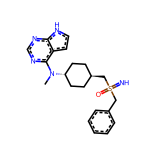 CN(c1ncnc2[nH]ccc12)[C@H]1CC[C@H](CS(=N)(=O)Cc2ccccc2)CC1